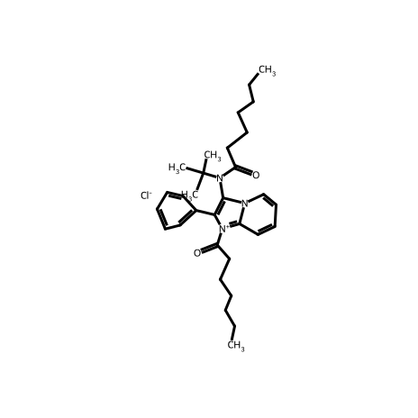 CCCCCCC(=O)N(c1c(-c2ccccc2)[n+](C(=O)CCCCCC)c2ccccn12)C(C)(C)C.[Cl-]